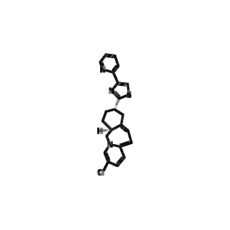 ClC1=CN2C[C@H]3CC[C@H](c4nc(-c5ccccn5)cs4)CC3=CC=C2C=C1